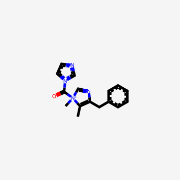 CC1=C(Cc2ccccc2)N=C[N+]1(C)C(=O)n1ccnc1